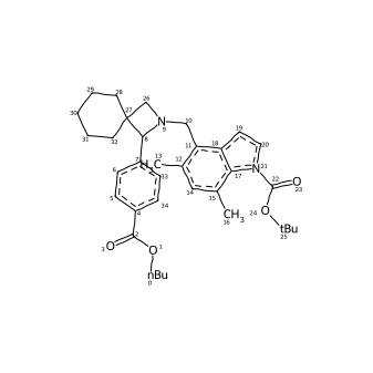 CCCCOC(=O)c1ccc(C2N(Cc3c(C)cc(C)c4c3ccn4C(=O)OC(C)(C)C)CC23CCCCC3)cc1